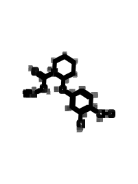 CC(C)(C)OC(=O)N1CCCCC1Oc1ccc(C=O)c(Cl)c1